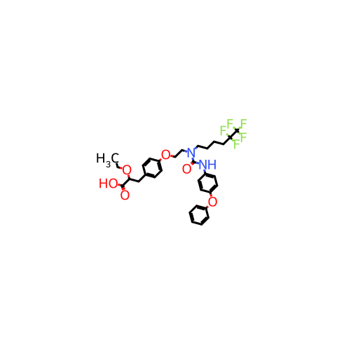 CCOC(Cc1ccc(OCCN(CCCCC(F)(F)C(F)(F)F)C(=O)Nc2ccc(Oc3ccccc3)cc2)cc1)C(=O)O